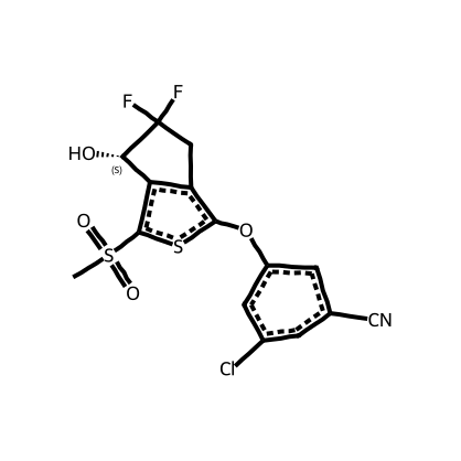 CS(=O)(=O)c1sc(Oc2cc(Cl)cc(C#N)c2)c2c1[C@H](O)C(F)(F)C2